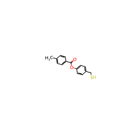 Cc1ccc(C(=O)Oc2ccc(CS)cc2)cc1